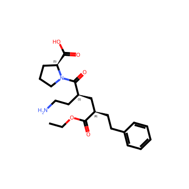 CCOC(=O)[C@H](CCc1ccccc1)C[C@@H](CCN)C(=O)N1CCC[C@H]1C(=O)O